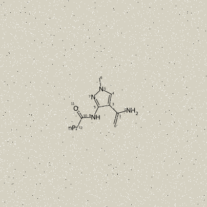 C=C(N)c1cn(C)nc1NC(=O)CCC